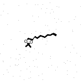 C=CCCCCCC[C@@H]1COC(C)(C)O1